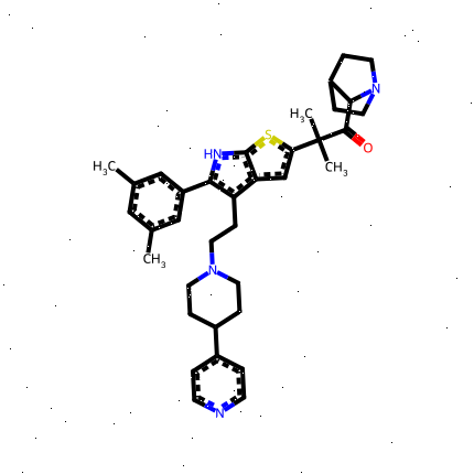 Cc1cc(C)cc(-c2[nH]c3sc(C(C)(C)C(=O)C4C5CCN4CC5)cc3c2CCN2CCC(c3ccncc3)CC2)c1